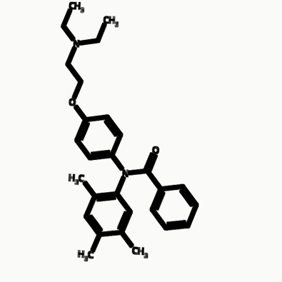 CCN(CC)CCOc1ccc(N(C(=O)c2ccccc2)c2cc(C)c(C)cc2C)cc1